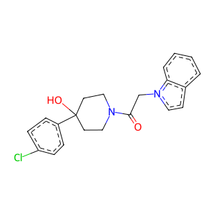 O=C(Cn1ccc2ccccc21)N1CCC(O)(c2ccc(Cl)cc2)CC1